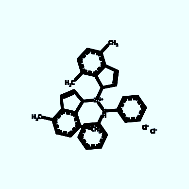 Cc1ccc(C)c2c1C=C[CH]2[Zr+2]([CH]1C=Cc2c(C)ccc(C)c21)[SiH](c1ccccc1)c1ccccc1.[Cl-].[Cl-]